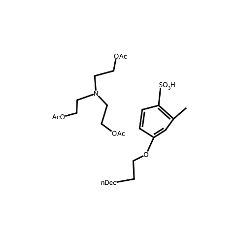 CC(=O)OCCN(CCOC(C)=O)CCOC(C)=O.CCCCCCCCCCCCOc1ccc(S(=O)(=O)O)c(C)c1